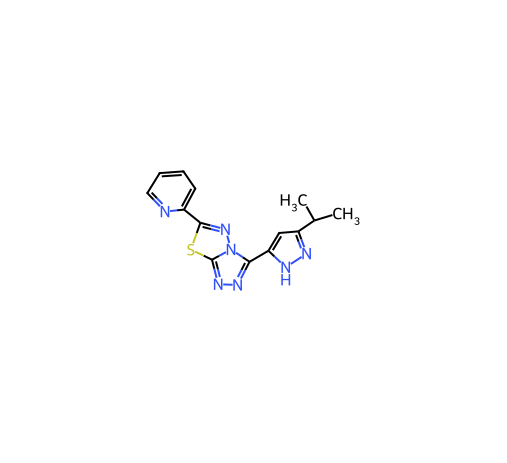 CC(C)c1cc(-c2nnc3sc(-c4ccccn4)nn23)[nH]n1